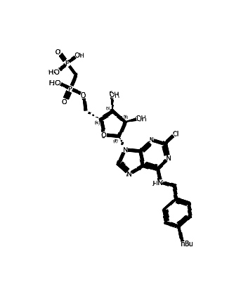 CCCCc1ccc(CNc2nc(Cl)nc3c2ncn3[C@@H]2O[C@H](COP(=O)(O)CP(=O)(O)O)[C@@H](O)[C@H]2O)cc1